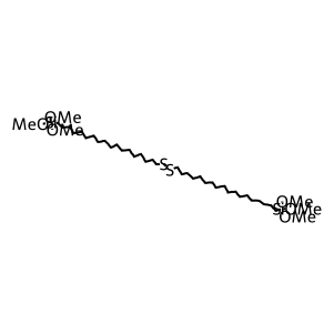 CO[Si](CCCCCCCCCCCCCCCCCCSSCCCCCCCCCCCCCCCCCC[Si](OC)(OC)OC)(OC)OC